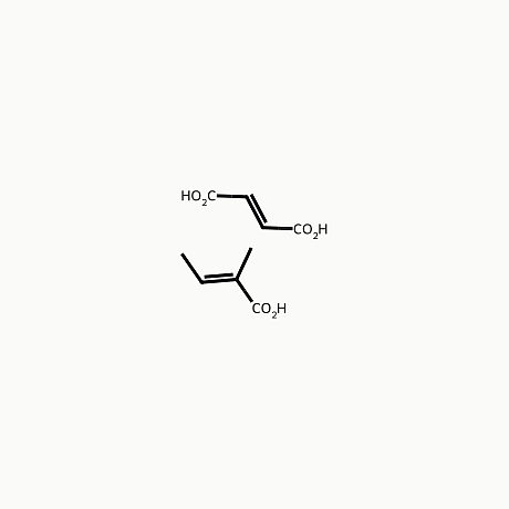 CC=C(C)C(=O)O.O=C(O)C=CC(=O)O